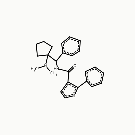 CN(C)C1(C(NC(=O)c2ccsc2-c2ccccc2)c2ccccc2)CCCC1